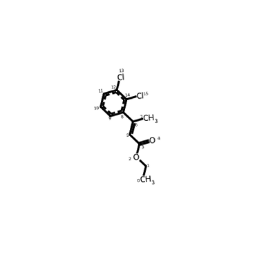 CCOC(=O)/C=C(\C)c1cccc(Cl)c1Cl